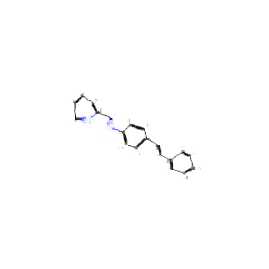 C(=C\c1ccc(/N=C/c2ccccn2)cc1)/c1ccccc1